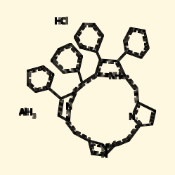 C1=Cc2cc3[nH]c(c(-c4ccccc4)c4nc(cc5ccc(cc1n2)[nH]5)C=C4c1ccccc1)c(-c1ccccc1)c3-c1ccccc1.Cl.[AlH3]